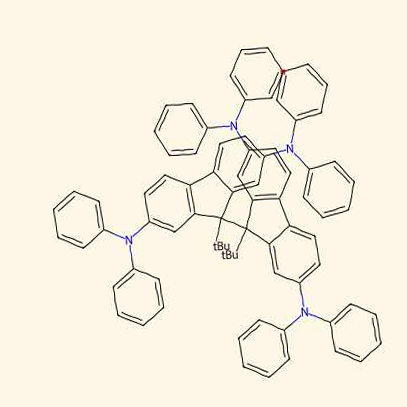 CC(C)(C)C1(C2(C(C)(C)C)c3cc(N(c4ccccc4)c4ccccc4)ccc3-c3ccc(N(c4ccccc4)c4ccccc4)cc32)c2cc(N(c3ccccc3)c3ccccc3)ccc2-c2ccc(N(c3ccccc3)c3ccccc3)cc21